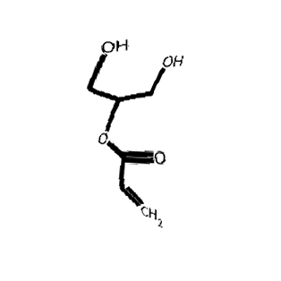 C=CC(=O)OC(CO)CO